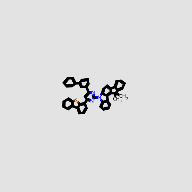 CC1(C)c2ccccc2-c2ccc3c(c21)c1ccccc1n3-c1nc(-c2cccc(-c3ccccc3)c2)cc(-c2cccc3c2sc2ccccc23)n1